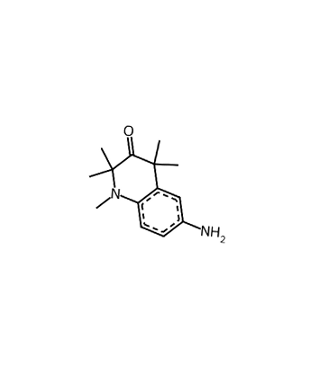 CN1c2ccc(N)cc2C(C)(C)C(=O)C1(C)C